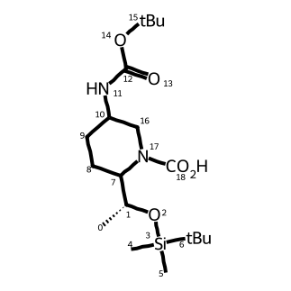 C[C@@H](O[Si](C)(C)C(C)(C)C)C1CCC(NC(=O)OC(C)(C)C)CN1C(=O)O